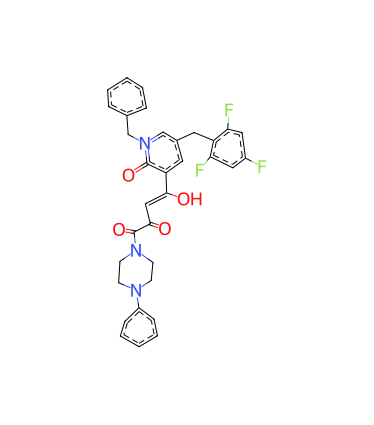 O=C(/C=C(\O)c1cc(Cc2c(F)cc(F)cc2F)cn(Cc2ccccc2)c1=O)C(=O)N1CCN(c2ccccc2)CC1